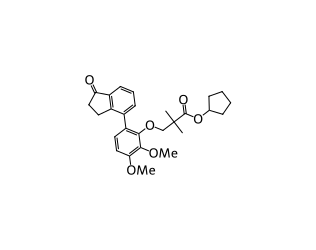 COc1ccc(-c2cccc3c2CCC3=O)c(OCC(C)(C)C(=O)OC2CCCC2)c1OC